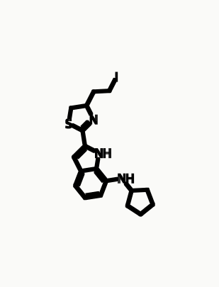 ICCC1CSC(c2cc3cccc(NC4CCCC4)c3[nH]2)=N1